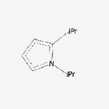 CC(C)c1cccn1C(C)C